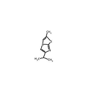 Cc1cn2cc(C(C)C)nc2s1